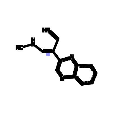 N#CN/C=C(\C=N)c1cnc2ccccc2n1